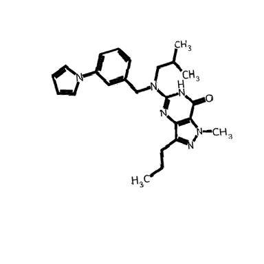 CCCc1nn(C)c2c(=O)[nH]c(N(Cc3cccc(-n4cccc4)c3)CC(C)C)nc12